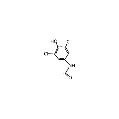 O=[C]Nc1cc(Cl)c(O)c(Cl)c1